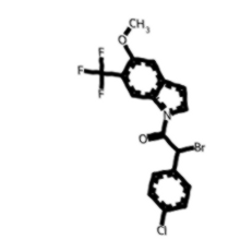 COc1cc2ccn(C(=O)C(Br)c3ccc(Cl)cc3)c2cc1C(F)(F)F